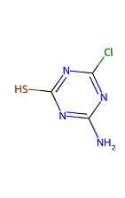 Nc1nc(S)nc(Cl)n1